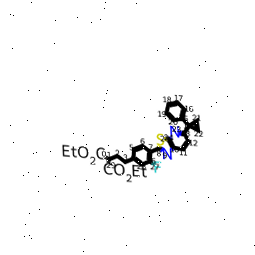 CCOC(=O)C(CCc1ccc(-c2nc3ccc(C4(c5ccccc5)C=C4)nc3s2)c(F)c1)C(=O)OCC